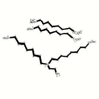 CCCCCCCCCCCCCCCCCC(=O)[O-].CCCCCCCCCCCCCCCCCC(=O)[O-].CCCCCCCCCCCCCCCCCCN(CCN)CCCCCCCCCCCCCCCCCC.[Ca+2]